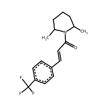 CC1CCCC(C)N1C(=O)C=Cc1ccc(C(F)(F)F)cc1